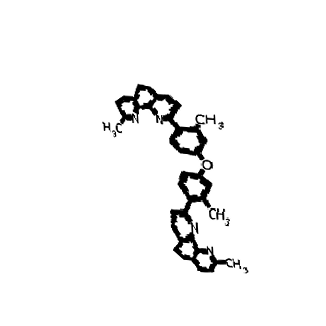 Cc1ccc2ccc3ccc(-c4ccc(Oc5ccc(-c6ccc7ccc8ccc(C)nc8c7n6)c(C)c5)cc4C)nc3c2n1